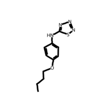 CCCCOc1ccc(Nc2nnns2)cc1